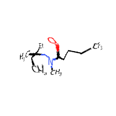 CCC(C)(C)N(C)C(=O)CCCC(F)(F)F